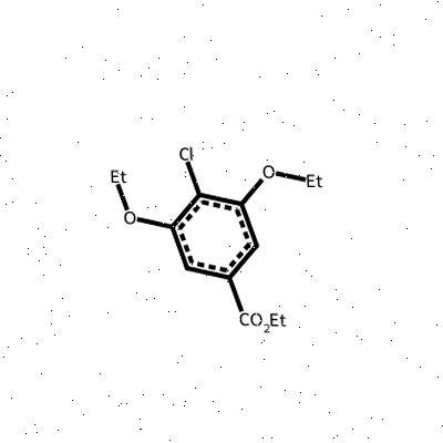 CCOC(=O)c1cc(OCC)c(Cl)c(OCC)c1